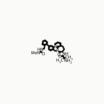 CNC(=O)NCc1ccccc1-c1ccc(CN2C(=O)[C@H](NC(=O)C(C)(C)N)CCc3cccnc32)cc1